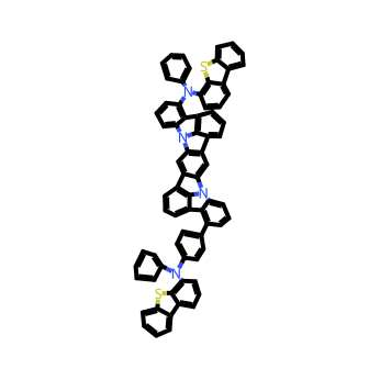 c1ccc(N(c2ccc(-c3cccc4c3c3cccc5c6cc7c(cc6n4c53)c3cccc4c5c(N(c6ccccc6)c6cccc8c6sc6ccccc68)cccc5n7c34)cc2)c2cccc3c2sc2ccccc23)cc1